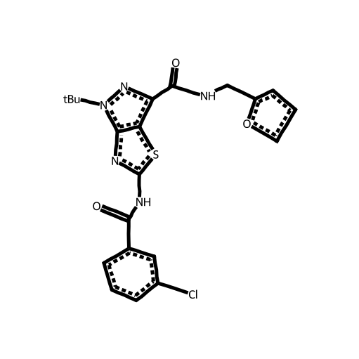 CC(C)(C)n1nc(C(=O)NCc2ccco2)c2sc(NC(=O)c3cccc(Cl)c3)nc21